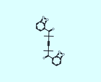 CC(C)(C#CC(C)(C)C(=O)c1cccc2ooc12)C(=O)c1cccc2ooc12